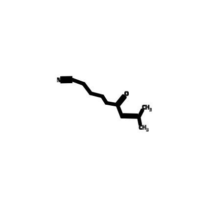 CC(C)=CC(=O)CCCCC#N